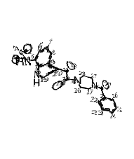 CS(=O)(=O)Nc1cccc2c(C(=O)C(=O)N3CCN(C(=O)c4ccccc4)CC3)c[nH]c12